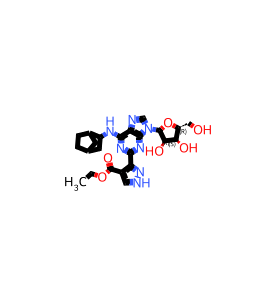 CCOC(=O)c1c[nH]nc1-c1nc(NC2CC3CCC2C3)c2ncn(C3O[C@H](CO)[C@@H](O)[C@H]3O)c2n1